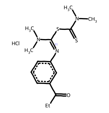 CCC(=O)c1cccc(/N=C(/SC(=S)N(C)C)N(C)C)c1.Cl